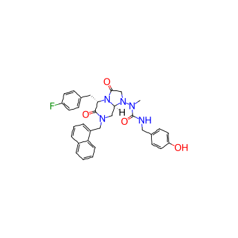 CN(C(=O)NCc1ccc(O)cc1)N1CC(=O)N2[C@@H](Cc3ccc(F)cc3)C(=O)N(Cc3cccc4ccccc34)C[C@@H]21